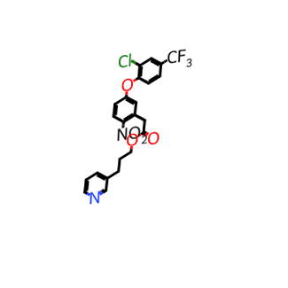 O=C(Cc1cc(Oc2ccc(C(F)(F)F)cc2Cl)ccc1[N+](=O)[O-])OCCCc1cccnc1